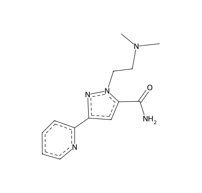 CN(C)CCn1nc(-c2ccccn2)cc1C(N)=O